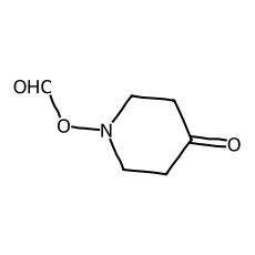 O=CON1CCC(=O)CC1